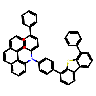 c1ccc(-c2ccc(N(c3ccc(-c4cccc5c4sc4c(-c6ccccc6)cccc45)cc3)c3cccc4ccc5ccccc5c34)cc2)cc1